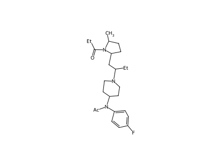 CCC(=O)N1C(C)CCC1CC(CC)N1CCC(N(C(C)=O)c2ccc(F)cc2)CC1